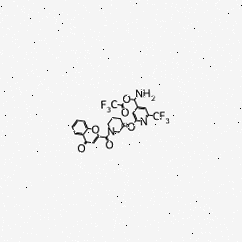 NC(OC(=O)C(F)(F)F)c1cc(O[C@H]2CCCN(C(=O)c3cc(=O)c4ccccc4o3)C2)nc(C(F)(F)F)c1